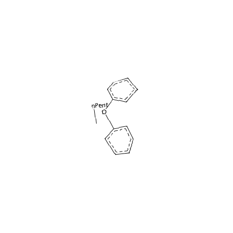 CCCCCC.c1ccc(Oc2ccccc2)cc1